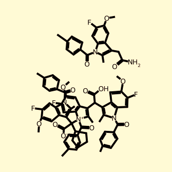 COc1cc2c(CC(N)=O)c(C)n(C(=O)c3ccc(C)cc3)c2cc1F.COc1cc2c(cc1F)[N+](C(=O)c1ccc(C)cc1)(C(C(=O)[O-])(c1c(C)n(C(=O)c3ccc(C)cc3)c3cc(F)c(OC)cc13)C1CCCC1)C(C)=C2C(C(=O)O)c1c(C)n(C(=O)c2ccc(C)cc2)c2cc(F)c(OC)cc12